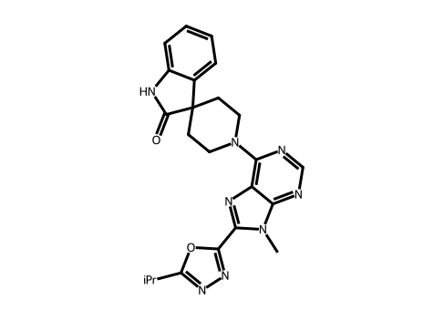 CC(C)c1nnc(-c2nc3c(N4CCC5(CC4)C(=O)Nc4ccccc45)ncnc3n2C)o1